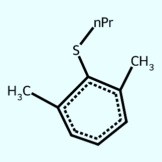 [CH2]CCSc1c(C)cccc1C